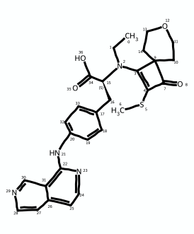 CCN(C1=C(SC)C(=O)C12CCOCC2)[C@@H](Cc1ccc(Nc2nccc3ccncc23)cc1)C(=O)O